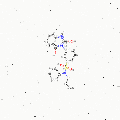 N#CCCN(c1ccccc1)S(=O)(=O)c1cccc(-n2c(=O)[nH]c3ccccc3c2=O)c1